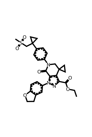 CCOC(=O)c1nn(-c2ccc3c(c2)CCO3)c2c1C1(CC1)CN(c1ccc(C3(CS(C)(=O)=O)CC3)cc1)C2=O